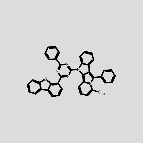 Cc1cccc2c3c(c(-c4ccccc4)n12)c1ccccc1n3-c1nc(-c2ccccc2)nc(-c2cccc3c2sc2ccccc23)n1